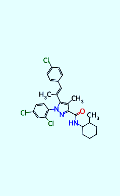 CC(=Cc1ccc(Cl)cc1)c1c(C)c(C(=O)NC2CCCCC2C)nn1-c1ccc(Cl)cc1Cl